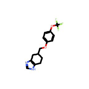 FC(F)(F)Oc1ccc(OCC2CCc3[nH]cnc3C2)cc1